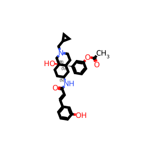 CC(=O)Oc1cccc([C@@]23CCN(CC4CC4)C[C@@]2(O)CC[C@H](NC(=O)C=Cc2cccc(O)c2)C3)c1